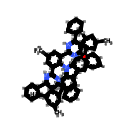 Cc1cc(C)cc(-c2ccc3c4ccc(-c5cc(C)cc(C)c5)cc4n(-c4c(-c5nc(-c6ccccc6)cc(-c6ccccc6)n5)cc(C(F)(F)F)cc4-c4nc(-c5ccccc5)cc(-c5ccccc5)n4)c3c2)c1